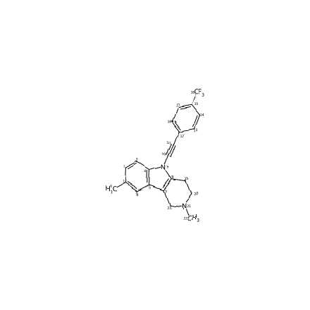 Cc1ccc2c(c1)c1c(n2C#Cc2ccc(C(F)(F)F)cc2)CCN(C)C1